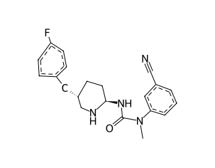 CN(C(=O)N[C@@H]1CC[C@@H](Cc2ccc(F)cc2)CN1)c1cccc(C#N)c1